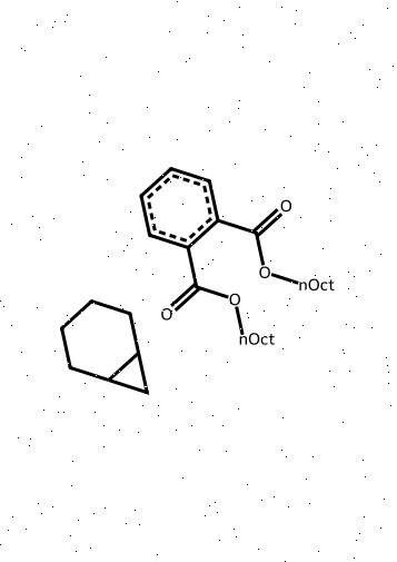 C1CCC2CC2C1.CCCCCCCCOC(=O)c1ccccc1C(=O)OCCCCCCCC